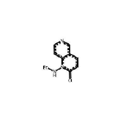 CCNn1c(=O)ccc2cnccc21